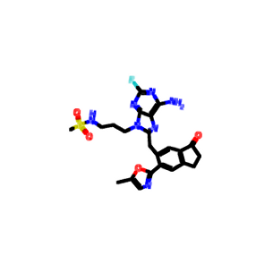 Cc1cnc(-c2cc3c(cc2Cc2nc4c(N)nc(F)nc4n2CCCNS(C)(=O)=O)C(=O)CC3)o1